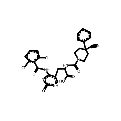 N#CC1(c2ccccc2)CCN(C(=O)NC(Cc2c[nH]c(=O)nc2NC(=O)c2c(Cl)cccc2Cl)C(=O)O)CC1